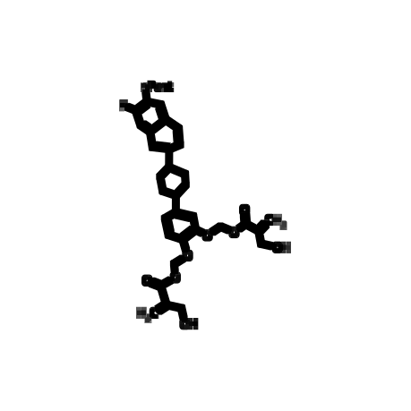 C=C(CO)C(=O)OCOc1ccc(C2CCC(c3ccc4cc(CCCCC)c(F)cc4c3)CC2)cc1OCOC(=O)C(=C)CO